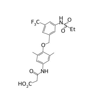 CCS(=O)(=O)Nc1cc(COc2c(C)cc(NC(=O)CC(=O)O)cc2C)cc(C(F)(F)F)c1